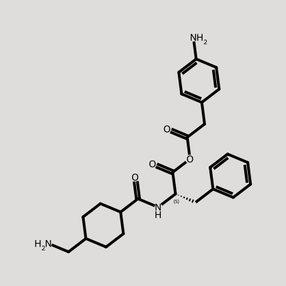 NCC1CCC(C(=O)N[C@@H](Cc2ccccc2)C(=O)OC(=O)Cc2ccc(N)cc2)CC1